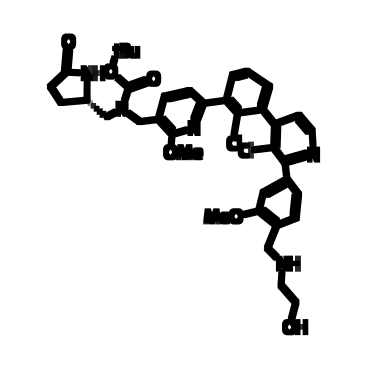 COc1cc(-c2nccc(-c3cccc(-c4ccc(CN(C[C@@H]5CCC(=O)N5)C(=O)OC(C)(C)C)c(OC)n4)c3Cl)c2Cl)ccc1CNCCO